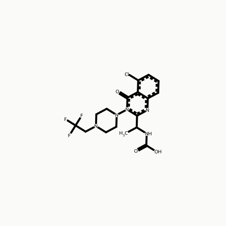 CC(NC(=O)O)c1nc2cccc(Cl)c2c(=O)n1N1CCN(CC(F)(F)F)CC1